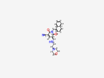 CC1=C(C#N)C(=O)N(Cc2cccc3ccccc23)C(=O)C1=CNCCN1CCOCC1